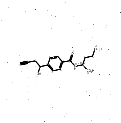 C#CCC(O)c1ccc(C(=O)N[C@@H](CCC(=O)O)C(=O)O)cc1